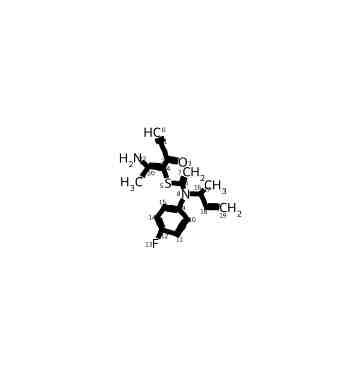 C#CC(=O)/C(SC(=C)N(c1ccc(F)cc1)C(C)C=C)=C(/C)N